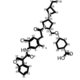 O=C(Nc1cc(F)c(CC(=O)N2C[C@@H](N3CC(CF)C3)C[C@H]2CO[C@H]2CC[C@H](C(=O)O)CC2)cc1Cl)c1coc2ccccc12